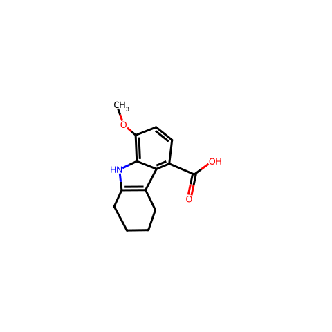 COc1ccc(C(=O)O)c2c3c([nH]c12)CCCC3